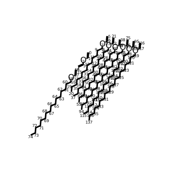 C=COC=C.C=COCCCCCCCCCCCCC.C=COCCCCCCCCCCCCCC.C=COCCCCCCCCCCCCCCC.C=COCCCCCCCCCCCCCCCC.C=COCCCCCCCCCCCCCCCCC.C=COCCCCCCCCCCCCCCCCCC.C=COCCCCCCCCCCCCCCCCCCC